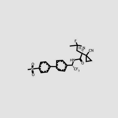 CC(C)(F)C[C@](N)(C(=O)N[C@@H](c1ccc(-c2ccc(S(C)(=O)=O)cc2)cc1)C(F)(F)F)C1(C#N)CC1